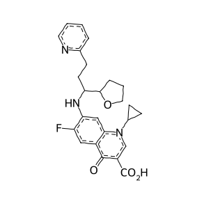 O=C(O)c1cn(C2CC2)c2cc(NC(CCc3ccccn3)C3CCCO3)c(F)cc2c1=O